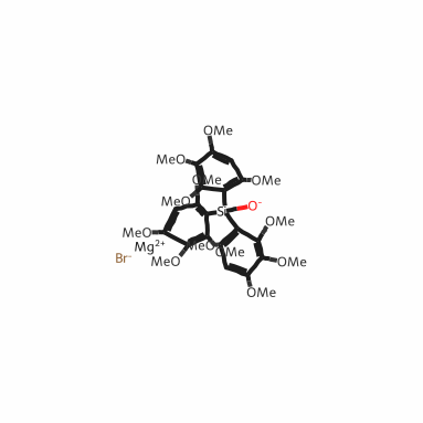 COc1cc(OC)c([Si]([O-])(c2c(OC)cc(OC)c(OC)c2OC)c2c(OC)cc(OC)c(OC)c2OC)c(OC)c1OC.[Br-].[Mg+2]